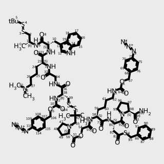 C[C@H](CSSC(C)(C)C)NC(=O)[C@H](Cc1c[nH]c2ccccc12)NC(=O)[C@H](CCCCN(C)C)NC(=O)CNC(=O)[C@H](CSSC(C)(C)CN1CCC[C@H]1C(=O)OCC(=O)N[C@@H](CCCCNC(=O)OCc1ccc(N=[N+]=[N-])cc1)C(=O)N[C@@H](CC(=O)SCc1ccccc1)C(=O)N1CCC[C@H]1C(N)=O)NC(=O)OCc1ccc(N=[N+]=[N-])cc1